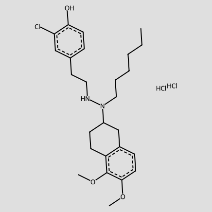 CCCCCCN(NCCc1ccc(O)c(Cl)c1)C1CCc2c(ccc(OC)c2OC)C1.Cl.Cl